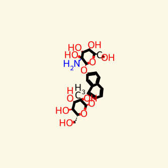 C[C@@]1(O)[C@@H](Oc2ccc3ccc(O[C@H]4O[C@H](CO)[C@@H](O)[C@H](O)[C@]4(N)O)cc3c2)O[C@H](CO)[C@@H](O)[C@@H]1O